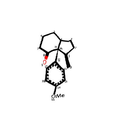 C=C1CCC2CCCC(=O)[C@@]12c1ccc(OC)cc1